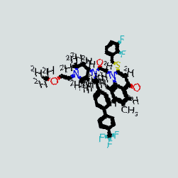 [2H]c1c(C)c([2H])c2c(=O)c([2H])c(SCc3cccc(F)c3F)n(C([2H])([2H])C(=O)N(C([2H])([2H])c3ccc(-c4ccc(C(F)(F)F)cc4)cc3)C3([2H])C([2H])([2H])C([2H])([2H])N(CCOC([2H])([2H])[2H])C([2H])([2H])C3([2H])[2H])c2c1[2H]